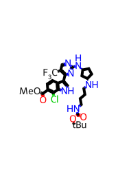 COC(=O)c1ccc2c(-c3nc(N[C@H]4CC[C@H](NCCCCNC(=O)OC(C)(C)C)C4)ncc3C(F)(F)F)c[nH]c2c1Cl